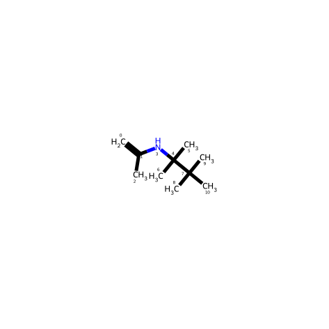 C=C(C)NC(C)(C)C(C)(C)C